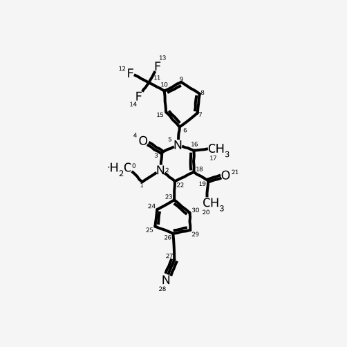 [CH2]CN1C(=O)N(c2cccc(C(F)(F)F)c2)C(C)=C(C(C)=O)C1c1ccc(C#N)cc1